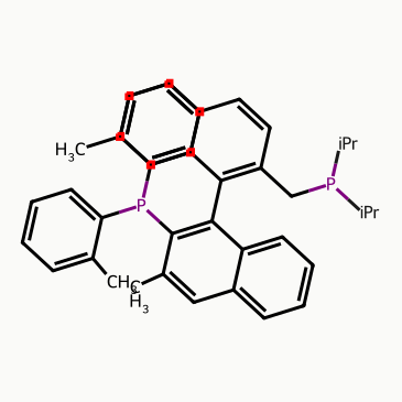 Cc1ccccc1P(c1ccccc1C)c1c(C)cc2ccccc2c1-c1c(CP(C(C)C)C(C)C)ccc2ccccc12